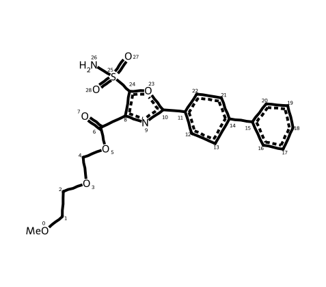 COCCOCOC(=O)c1nc(-c2ccc(-c3ccccc3)cc2)oc1S(N)(=O)=O